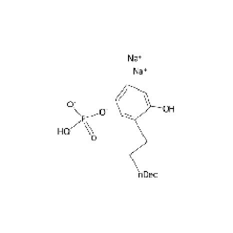 CCCCCCCCCCCCc1ccccc1O.O=P([O-])([O-])O.[Na+].[Na+]